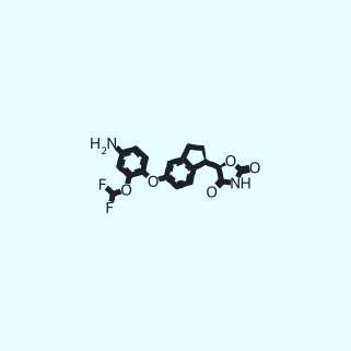 Nc1ccc(Oc2ccc3c(c2)CC[C@H]3[C@H]2OC(=O)NC2=O)c(OC(F)F)c1